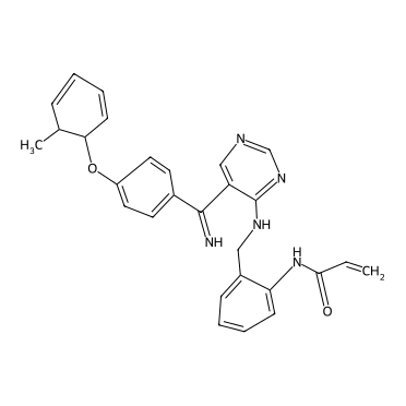 C=CC(=O)Nc1ccccc1CNc1ncncc1C(=N)c1ccc(OC2C=CC=CC2C)cc1